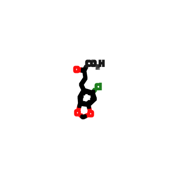 O=C(O)C(=O)CCc1cc2c(cc1Cl)OCO2